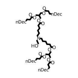 CCCCCCCCCCCCC(=O)OCC(COC(=O)CCCCCCCCCCCC)COC(=O)CCCCCN(CCO)CCCCCC(=O)OCC(COC(=O)CCCCCCCCCCCC)COC(=O)CCCCCCCCCCCC